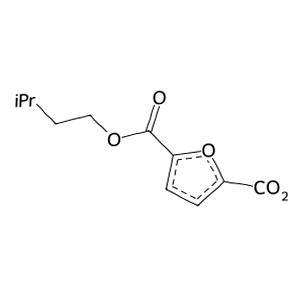 CC(C)CCOC(=O)c1ccc(C(=O)O)o1